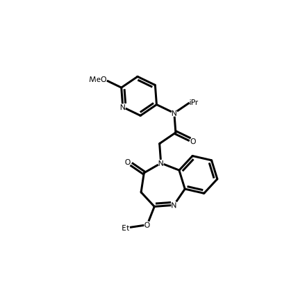 CCOC1=Nc2ccccc2N(CC(=O)N(c2ccc(OC)nc2)C(C)C)C(=O)C1